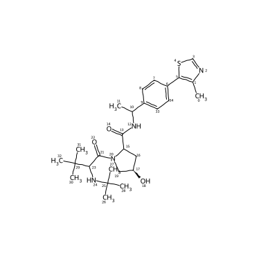 Cc1ncsc1-c1ccc(C(C)NC(=O)C2C[C@@H](O)CN2C(=O)C(NC(C)(C)C)C(C)(C)C)cc1